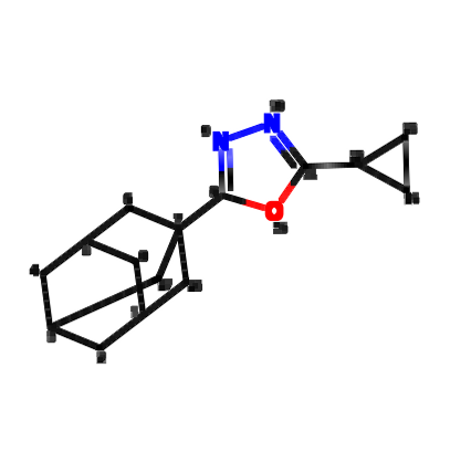 C1C2CC3CC1CC(c1nnc(C4CC4)o1)(C2)C3